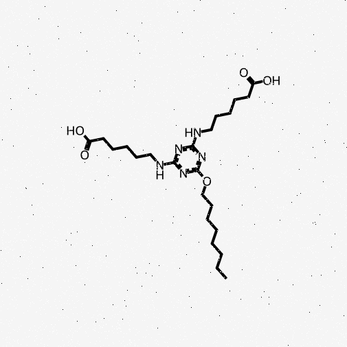 CCCCCCCCOc1nc(NCCCCCC(=O)O)nc(NCCCCCC(=O)O)n1